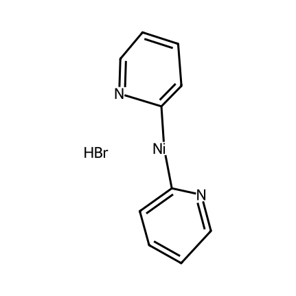 Br.c1cc[c]([Ni][c]2ccccn2)nc1